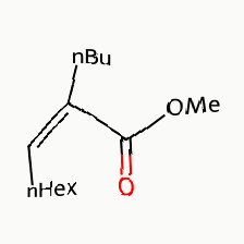 CCCCCCC=C(CCCC)C(=O)OC